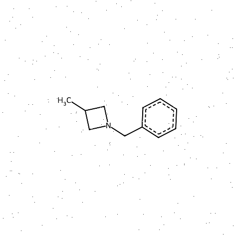 CC1CN(Cc2ccccc2)C1